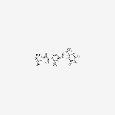 CC(C)[S+]([O-])C[C@@H](C)NC(=O)c1ccc(/C=C/C(c2cc(Cl)c(Cl)c(Cl)c2)C(F)(F)F)cc1C(F)(F)F